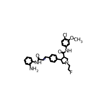 COc1cc(NC(=O)C2CN(CCF)CC2c2ccc(/C=C/C(=O)Nc3ccccc3N)cc2)ccc1Cl